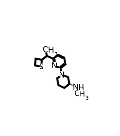 CN[C@@H]1CCCN(c2cccc(C(C)C3CCS3)n2)C1